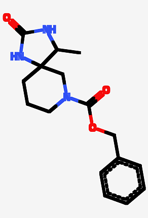 CC1NC(=O)NC12CCCN(C(=O)OCc1ccccc1)C2